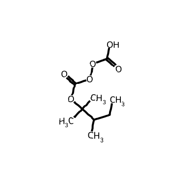 CCC(C)C(C)(C)OC(=O)OOC(=O)O